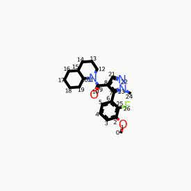 COc1cccc(-c2c(C(=O)N3CCCC4CCCCC43)cnn2C)c1F